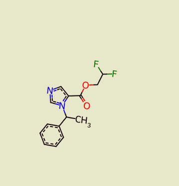 CC(c1ccccc1)n1cncc1C(=O)OCC(F)F